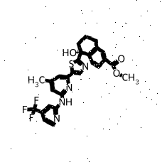 COC(=O)c1ccc2c(c1)CCC[C@]2(O)c1ncc(-c2cc(C)cc(Nc3cc(C(F)(F)F)ccn3)n2)s1